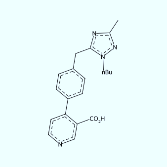 CCCCn1nc(C)nc1Cc1ccc(-c2ccncc2C(=O)O)cc1